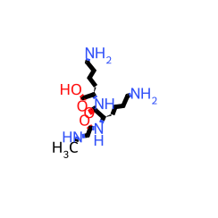 CNCC(=O)N[C@@H](CCCCN)C(=O)N[C@@H](CCCCN)C(=O)O